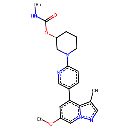 CCOc1cc(-c2ccc(N3CCC[C@@H](OC(=O)NC(C)(C)C)C3)nc2)c2c(C#N)cnn2c1